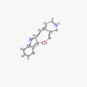 C1=NCC2=COC3=c4ccccc4=NC3=CC2=C1